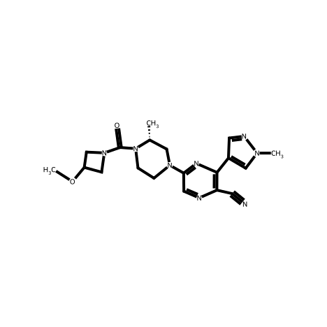 COC1CN(C(=O)N2CCN(c3cnc(C#N)c(-c4cnn(C)c4)n3)C[C@H]2C)C1